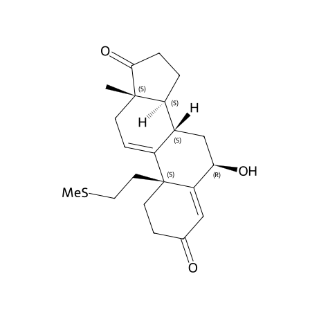 CSCC[C@]12CCC(=O)C=C1[C@H](O)C[C@@H]1C2=CC[C@]2(C)C(=O)CC[C@@H]12